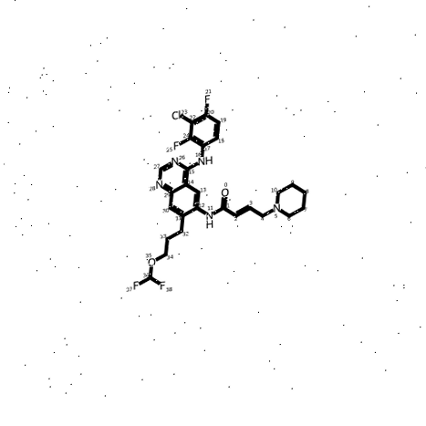 O=C(/C=C/CN1CCCCC1)Nc1cc2c(Nc3ccc(F)c(Cl)c3F)ncnc2cc1CCCOC(F)F